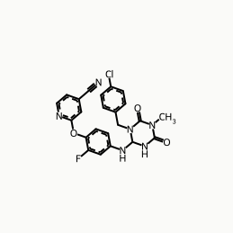 CN1C(=O)NC(Nc2ccc(Oc3cc(C#N)ccn3)c(F)c2)N(Cc2ccc(Cl)cc2)C1=O